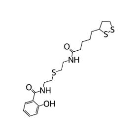 O=C(CCCCC1CCSS1)NCCSCCNC(=O)c1ccccc1O